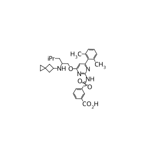 Cc1cccc(C)c1-c1cc(OCC(CC(C)C)NC2CC3(CC3)C2)nc(NS(=O)(=O)c2cccc(C(=O)O)c2)n1